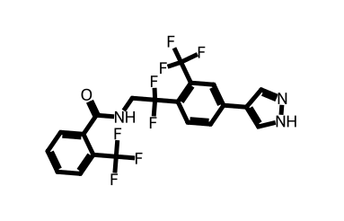 O=C(NCC(F)(F)c1ccc(-c2cn[nH]c2)cc1C(F)(F)F)c1ccccc1C(F)(F)F